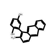 Cc1ccc2cc3ccccc3cc2c1-c1cc(O)ccc1O